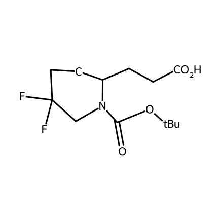 CC(C)(C)OC(=O)N1CC(F)(F)CCC1CCC(=O)O